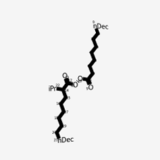 CCCCCCCCCCCCCCCCCC(=O)OOC(=O)C(CCCCCCCCCCCCCCCC)C(C)C